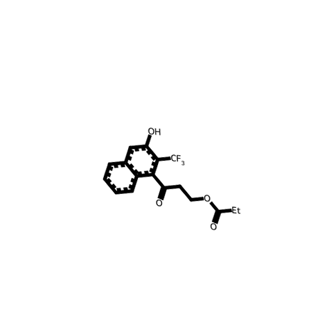 CCC(=O)OCCC(=O)c1c(C(F)(F)F)c(O)cc2ccccc12